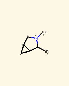 CC(C)C1C2CC2CN1C(C)(C)C